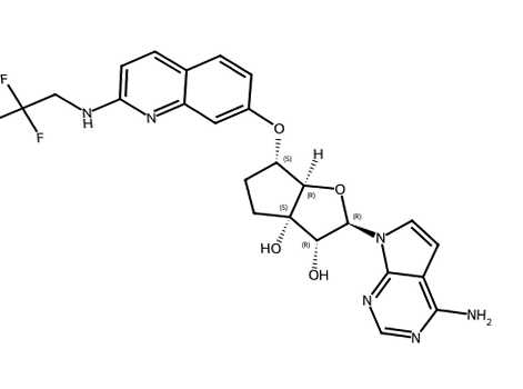 Nc1ncnc2c1ccn2[C@@H]1O[C@@H]2[C@@H](Oc3ccc4ccc(NCC(F)(F)F)nc4c3)CC[C@]2(O)[C@H]1O